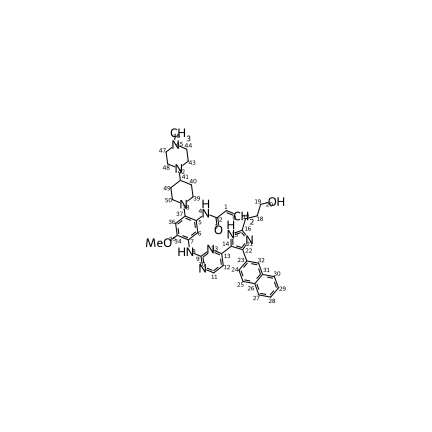 C=CC(=O)Nc1cc(Nc2nccc(-c3[nH]c(CCCO)nc3-c3ccc4ccccc4c3)n2)c(OC)cc1N1CCC(N2CCN(C)CC2)CC1